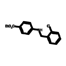 CCOC(=O)c1ccc(NCc2ccccc2Cl)cc1